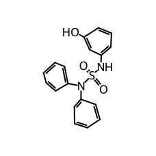 O=S(=O)(Nc1cccc(O)c1)N(c1ccccc1)c1ccccc1